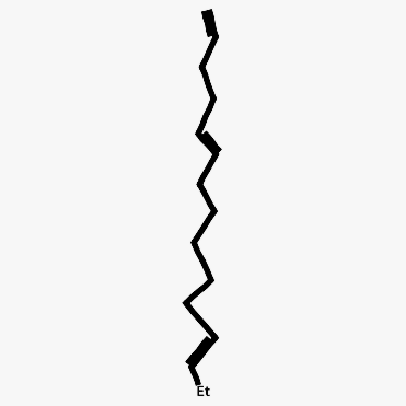 C=CCCC=CCCCCCC=CCC